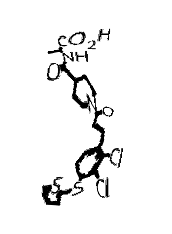 CC(NC(=O)C1CCN(C(=O)C=Cc2ccc(Sc3cccs3)c(Cl)c2Cl)CC1)C(=O)O